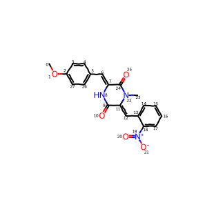 COc1ccc(C=c2[nH]c(=O)c(=Cc3ccccc3[N+](=O)[O-])n(C)c2=O)cc1